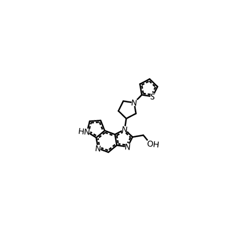 OCc1nc2cnc3[nH]ccc3c2n1C1CCN(c2cccs2)C1